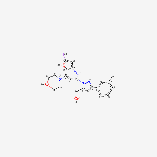 Cc1cccc(-c2cc(CO)n(-c3cc(N4CCOCC4)c4oc(I)cc4n3)n2)c1